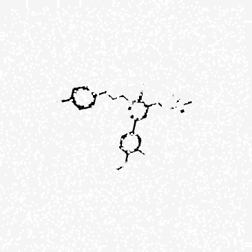 COc1ccc(-c2cc(COS(C)(=O)=O)c(=O)n(CCCc3ccc(F)cc3)n2)cc1F